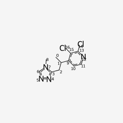 CC(Cc1nncn1C)c1ccnc(Cl)c1Cl